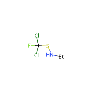 CCNSC(F)(Cl)Cl